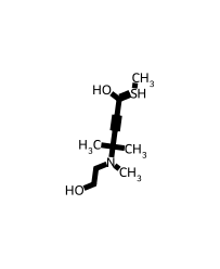 C[SH]=C(O)C#CC(C)(C)N(C)CCO